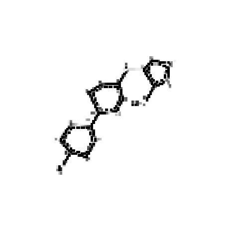 O=Cc1[nH]ncc1Sc1ccc(-c2ccc(Br)cc2)cc1